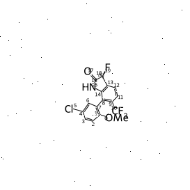 COc1ccc(Cl)cc1-c1c(C(F)(F)F)ccc2c1NC(=O)[C@H]2F